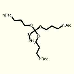 CCCCCCCCCCCCCOC(OP)(OCCCCCCCCCCCCC)OCCCCCCCCCCCCC